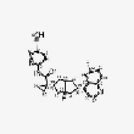 C#Cc1ccc(NC(=O)C2([C@@H]3CC4C[C@H](c5ccnc6ccc(F)cc56)C[C@@H]4C3)CC2)nc1